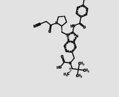 C[C@H](N(Cc1ccc2c(c1)nc(NC(=O)c1ccc(Cl)cc1)n2CC1CCCN1C(=O)CC#N)C(=O)O)C(C)(C)C